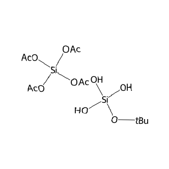 CC(=O)O[Si](OC(C)=O)(OC(C)=O)OC(C)=O.CC(C)(C)O[Si](O)(O)O